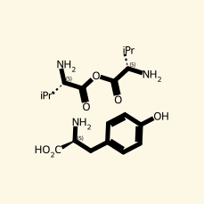 CC(C)[C@H](N)C(=O)OC(=O)[C@@H](N)C(C)C.N[C@@H](Cc1ccc(O)cc1)C(=O)O